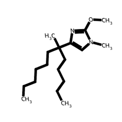 CCCCCCC(C)(CCCCC)c1cn(C)c(OC)n1